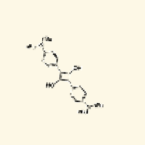 CCCCN(CCCC)c1ccc(C2=C(O)C(c3ccc(N(CCCC)CCCC)cc3)=C2O)cc1